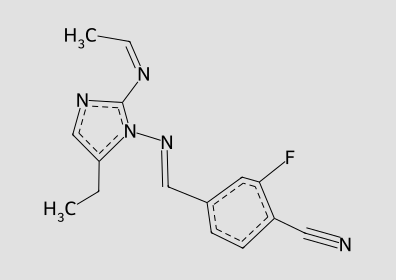 C/C=N\c1ncc(CC)n1/N=C/c1ccc(C#N)c(F)c1